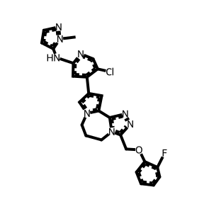 Cn1nccc1Nc1cc(-c2cc3n(c2)CCCn2c(COc4ccccc4F)nnc2-3)c(Cl)cn1